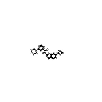 O=C(Nc1ncc2ccc(-c3nncs3)cc2n1)c1ccnc(N2CCOCC2)c1